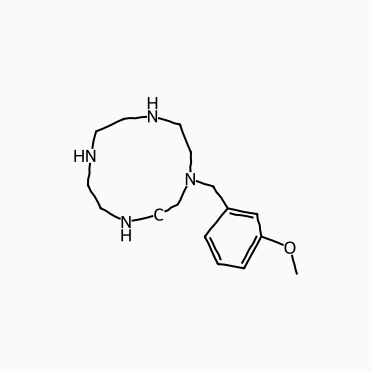 COc1cccc(CN2CCNCCNCCNCC2)c1